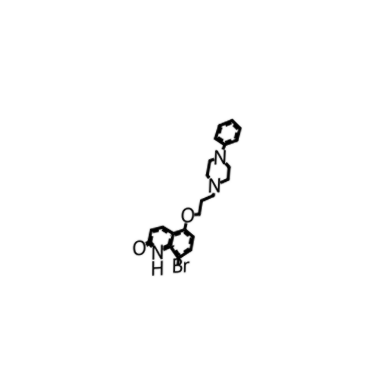 O=c1ccc2c(OCCCN3CCN(c4ccccc4)CC3)ccc(Br)c2[nH]1